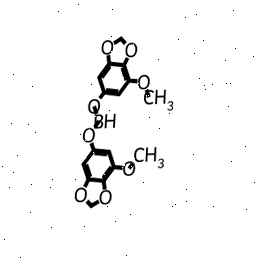 COc1cc(OBOc2cc(OC)c3c(c2)OCO3)cc2c1OCO2